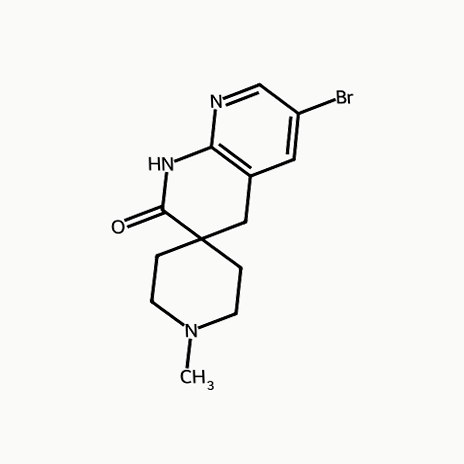 CN1CCC2(CC1)Cc1cc(Br)cnc1NC2=O